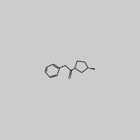 C[C@@H]1CCN(C(=O)Cc2ccccc2)C1